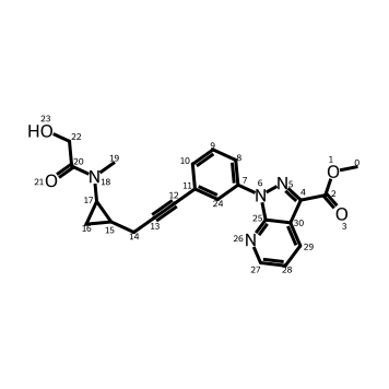 COC(=O)c1nn(-c2cccc(C#CCC3CC3N(C)C(=O)CO)c2)c2ncccc12